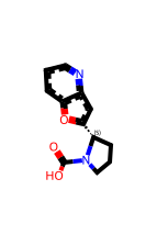 O=C(O)N1CCC[C@H]1c1cc2ncccc2o1